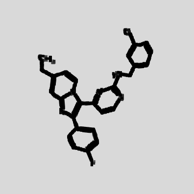 CCc1ccn2c(-c3ccnc(NCc4cccc(Cl)c4)n3)c(-c3ccc(F)cc3)nc2c1